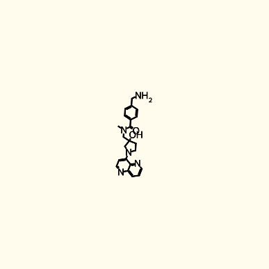 CN(CC1(O)CCN(c2ccnc3cccnc23)C1)C(=O)c1ccc(CN)cc1